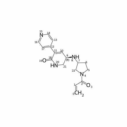 C=CC(=O)N1CCC(N[C@@H]2C=C(c3ccncc3)C(=O)NC2)C1